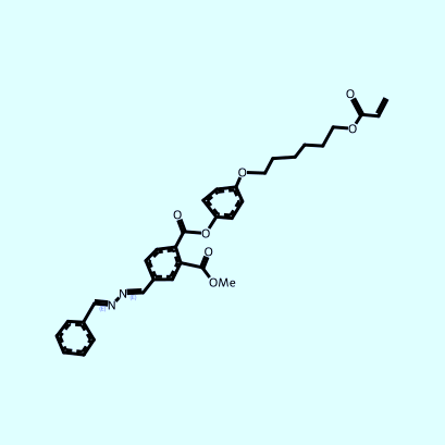 C=CC(=O)OCCCCCCOc1ccc(OC(=O)c2ccc(/C=N/N=C/c3ccccc3)cc2C(=O)OC)cc1